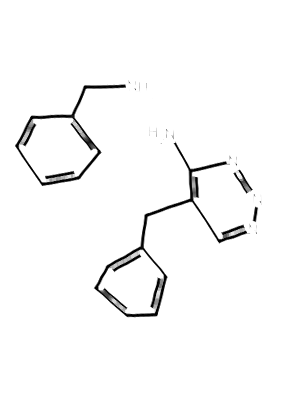 NCc1ccccc1.Nc1nnncc1Cc1ccccc1